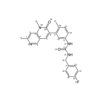 Cc1cc2c(cn1)cc(-c1cc(NC(=O)NCc3ccc(F)cc3)ccc1C)c(=O)n2C